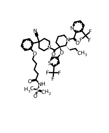 C=S(C)(=O)NC(=O)CCCCOc1ccccc1C1(C#N)CCN(C(=O)[C@]2(Oc3csc(C(F)(F)F)c3)CCCN(C(=O)c3ncccc3C(F)(F)F)[C@@H]2CCC)CC1